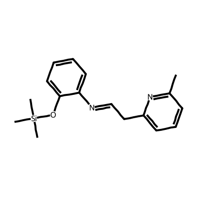 Cc1cccc(CC=Nc2ccccc2O[Si](C)(C)C)n1